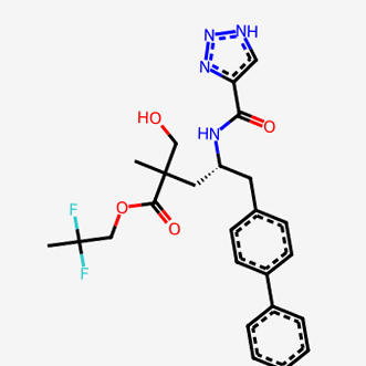 CC(F)(F)COC(=O)C(C)(CO)C[C@@H](Cc1ccc(-c2ccccc2)cc1)NC(=O)c1c[nH]nn1